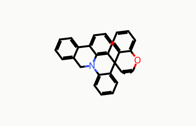 c1ccc2c(c1)CN1c3ccccc3C3(c4ccccc4Oc4ccccc43)c3cccc-2c31